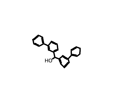 OC(c1cccc(C2=CCCC=C2)c1)c1cccc(-c2ccccc2)c1